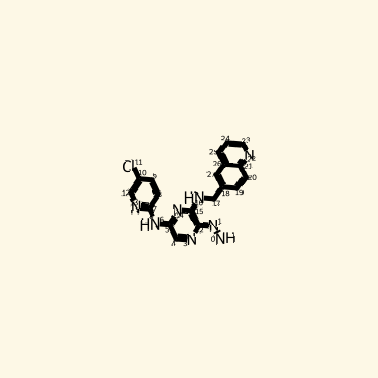 N=Nc1ncc(Nc2ccc(Cl)cn2)nc1NCc1ccc2ncccc2c1